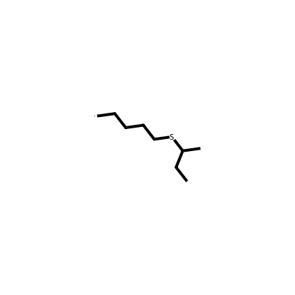 [CH2]CCCCSC(C)CC